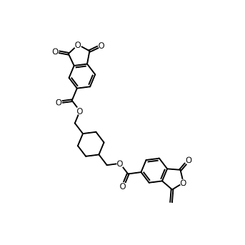 C=C1OC(=O)c2ccc(C(=O)OCC3CCC(COC(=O)c4ccc5c(c4)C(=O)OC5=O)CC3)cc21